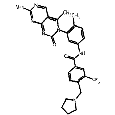 CNc1ncc2c(C)n(-c3cc(NC(=O)c4ccc(CN5CCCC5)c(C(F)(F)F)c4)ccc3C)c(=O)nc2n1